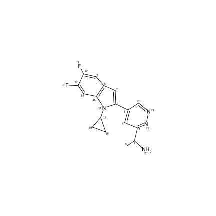 CC(N)c1cc(-c2cc3cc(F)c(F)cc3n2C2CC2)cnn1